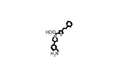 Cl.NCc1cccc(C2CCN(C(=O)c3cc(CCc4ccccc4)cs3)CC2)c1